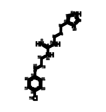 N=C(NCCCc1c[nH]cn1)NCCSc1ccc(Cl)cc1